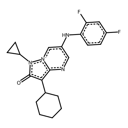 O=c1c(C2CCCCC2)c2ncc(Nc3ccc(F)cc3F)cn2n1C1CC1